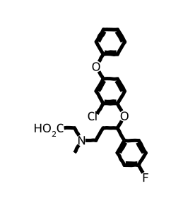 CN(CCC(Oc1ccc(Oc2ccccc2)cc1Cl)c1ccc(F)cc1)CC(=O)O